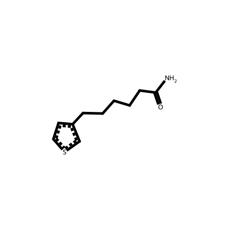 NC(=O)CCCCCc1ccsc1